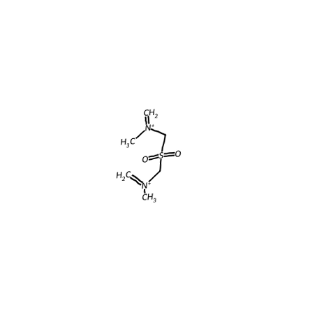 C=[N+](C)CS(=O)(=O)C[N+](=C)C